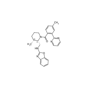 Cc1ccc(C(=O)N2CCC[C@@H](C)[C@H]2CNc2nc3ccccc3o2)c(-c2ncccn2)c1